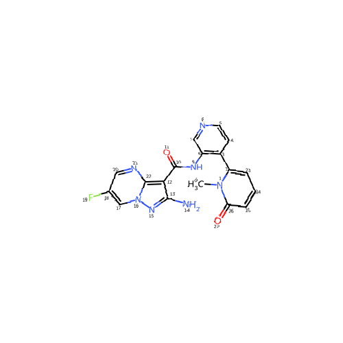 Cn1c(-c2ccncc2NC(=O)c2c(N)nn3cc(F)cnc23)cccc1=O